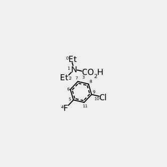 CCN(CC)C(=O)O.Fc1cccc(Cl)c1